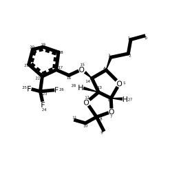 CCCC[C@H]1O[C@@H]2OC(C)(CC)O[C@@H]2[C@H]1OCc1ccccc1C(F)(F)F